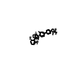 Cc1cc(-c2ccc(OC(F)(F)F)cc2)ccc1[C@@H]1N=C(c2c(F)cccc2F)O[C@@H]1C